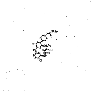 CNC(=O)CN1CCC(c2cc(C)c(Nc3ncc(Cl)c(Nc4cc(C)[nH]n4)n3)cc2OC)CC1